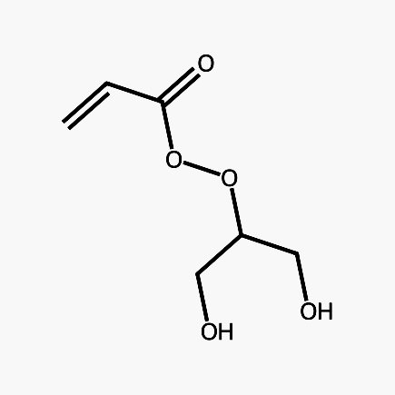 C=CC(=O)OOC(CO)CO